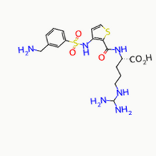 NCc1cccc(S(=O)(=O)Nc2ccsc2C(=O)N[C@@H](CCCNC(N)N)C(=O)O)c1